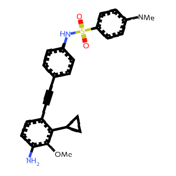 CNc1ccc(S(=O)(=O)Nc2ccc(C#Cc3ccc(N)c(OC)c3C3CC3)cc2)cc1